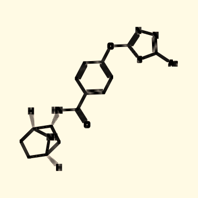 CC(=O)c1nnc(Oc2ccc(C(=O)N[C@@H]3C[C@H]4CC[C@@H]3N4)cc2)s1